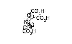 O=C(O)CCOc1cc2nc3c4ccc(C(=O)O)cc4[nH]c(=O)n3c2cc1OCCC(=O)O